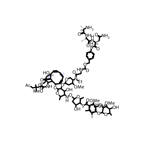 CCN(C(=O)CNC(=O)OCc1ccc(NC(=O)[C@H](CC(N)=O)NC(=O)[C@H](C)NC(=O)[C@H](C)N)cc1)C1COC(OC2C(O[C@H]3C#C/C=C\C#C[C@]4(O)CC(=O)C(NC(=O)OC)C3/C4=C\CSSC(C)(C)CC(C)=O)OC(C)C(NOC3CC(O)C(SC(=O)c4c(C)c(I)c(OC5OC(C)C(O)C(OC)C5O)c(OC)c4OC)C(C)O3)C2O)CC1OC